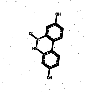 [O-][S+]1Nc2cc(O)ccc2-c2ccc(O)cc21